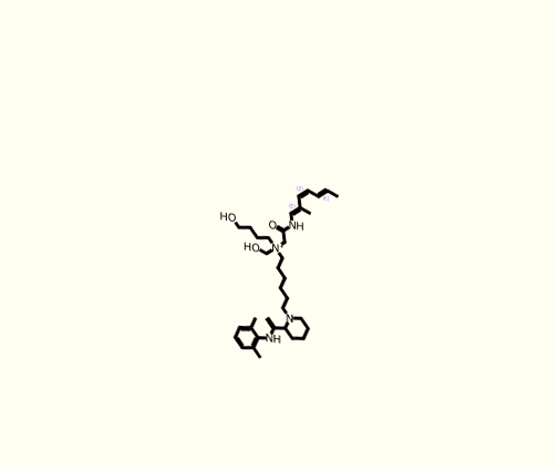 C=C(Nc1c(C)cccc1C)C1CCCCN1CCCCCC[N+](CO)(CCCCO)CC(=O)N/C=C(C)/C=C\C=C\C